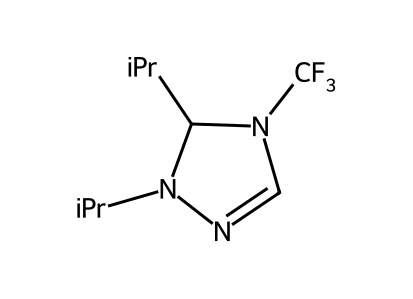 CC(C)C1N(C(C)C)N=CN1C(F)(F)F